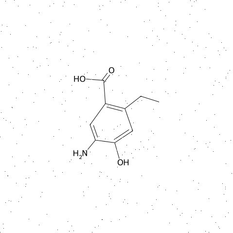 CCc1cc(O)c(N)cc1C(=O)O